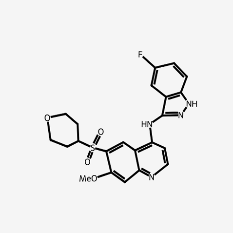 COc1cc2nccc(Nc3n[nH]c4ccc(F)cc34)c2cc1S(=O)(=O)C1CCOCC1